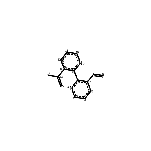 C=Cc1cccnc1-c1ncccc1C(=C)C